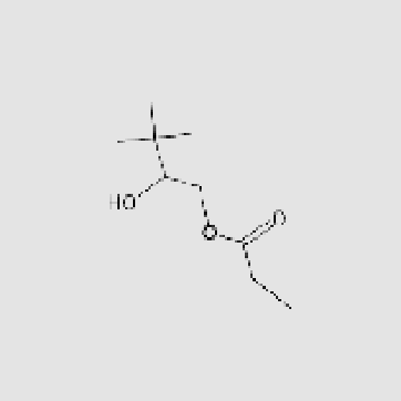 CCC(=O)OCC(O)C(C)(C)C